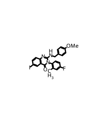 COc1ccc(CNc2nc3ccc(I)cc3c(=O)n2-c2ccc(F)cc2C)cc1